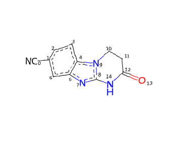 N#Cc1ccc2c(c1)nc1n2CCC(=O)N1